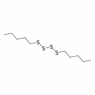 CCCCCSSSSCCCCC